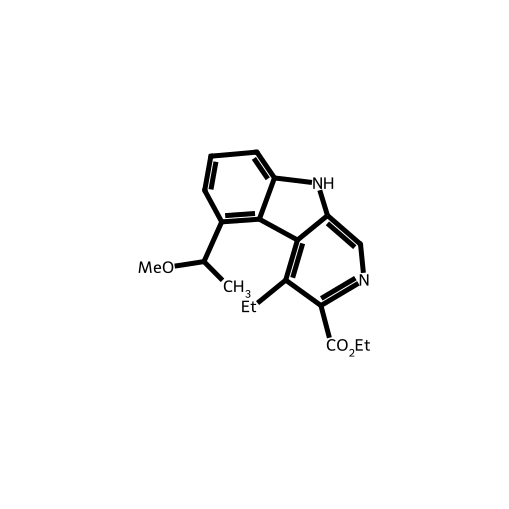 CCOC(=O)c1ncc2[nH]c3cccc(C(C)OC)c3c2c1CC